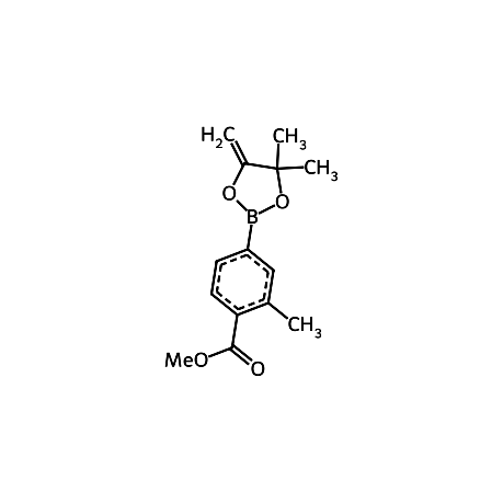 C=C1OB(c2ccc(C(=O)OC)c(C)c2)OC1(C)C